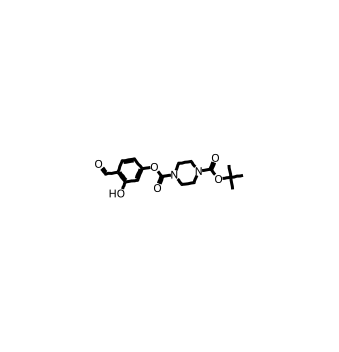 CC(C)(C)OC(=O)N1CCN(C(=O)Oc2ccc(C=O)c(O)c2)CC1